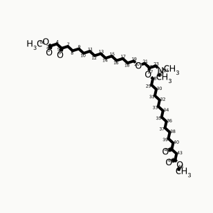 COC(=O)CC(=O)CCCCCCCCCCCCCOCC(CN(C)C)OCCCCCCCCCCCCCC(=O)CC(=O)OC